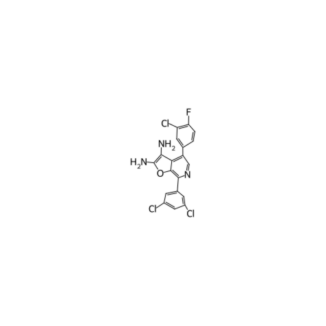 Nc1oc2c(-c3cc(Cl)cc(Cl)c3)ncc(-c3ccc(F)c(Cl)c3)c2c1N